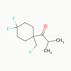 CC(C)C(=O)C1(CF)CCC(F)(F)CC1